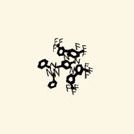 N#Cc1c(-n2c3ccc(C(F)(F)F)cc3c3cc(C(F)(F)F)ccc32)cc(-c2nc(-c3ccccc3)nc(-c3ccccc3)n2)cc1-n1c2ccc(C(F)(F)F)cc2c2cc(C(F)(F)F)ccc21